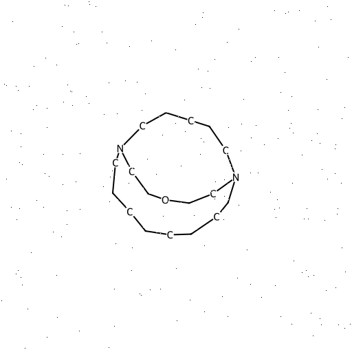 C1CCCCN2CCCCCN(CCC1)CCOCC2